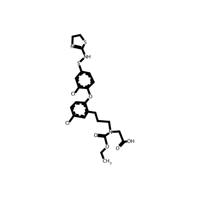 CCOC(=O)N(CCCc1cc(Cl)ccc1Oc1ccc(SNC2=NCCS2)cc1Cl)CC(=O)O